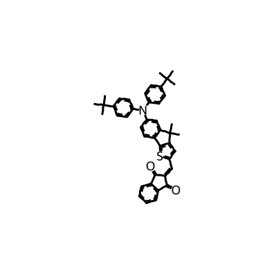 CC(C)(C)c1ccc(N(c2ccc(C(C)(C)C)cc2)c2ccc3c(c2)C(C)(C)c2cc(C=C4C(=O)c5ccccc5C4=O)sc2-3)cc1